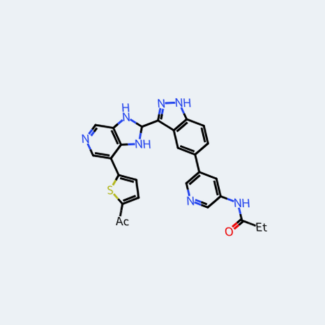 CCC(=O)Nc1cncc(-c2ccc3[nH]nc(C4Nc5cncc(-c6ccc(C(C)=O)s6)c5N4)c3c2)c1